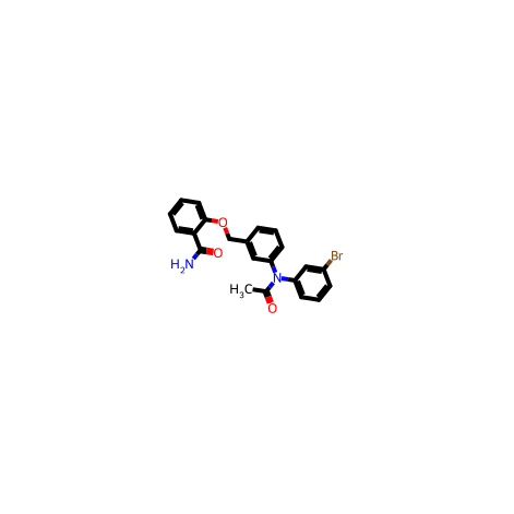 CC(=O)N(c1cccc(Br)c1)c1cccc(COc2ccccc2C(N)=O)c1